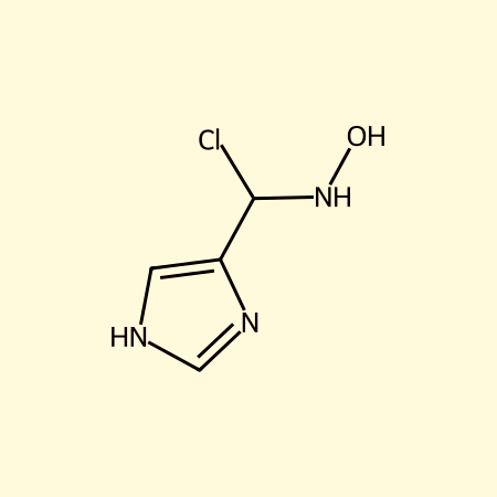 ONC(Cl)c1c[nH]cn1